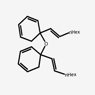 CCCCCCC=CC1(OC2(C=CCCCCCC)C=CC=CC2)C=CC=CC1